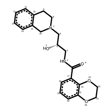 O=C(NC[C@H](O)CN1CCc2ccccc2C1)c1cccc2c1OCCO2